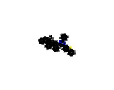 CC1(C)c2ccc3ccccc3c2-c2cccc(-c3ccc(-c4cc(-c5ccc6c(c5)sc5ccccc56)nc(-c5ccccc5)n4)c4ccccc34)c21